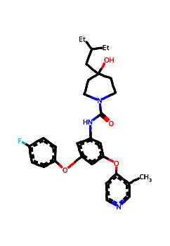 CCC(CC)CC1(O)CCN(C(=O)Nc2cc(Oc3ccc(F)cc3)cc(Oc3ccncc3C)c2)CC1